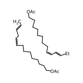 C/C=C/C/C=C\CCCCCCCCOC(C)=O.CC/C=C/C=C\CCCCCCCCOC(C)=O